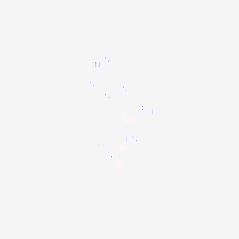 CN(C1CCCCC1)S(=O)(=O)c1ccccc1NCC(=O)N[C@@H]1CCCN(c2ncnc3[nH]ncc23)C1